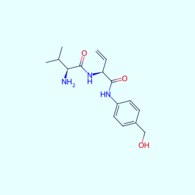 C=C[C@H](NC(=O)[C@@H](N)C(C)C)C(=O)Nc1ccc(CO)cc1